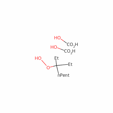 CCCCCC(CC)(CC)OO.O=C(O)O.O=C(O)O